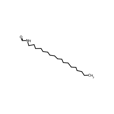 CCCCCCCCCCCCCCCCCCNC=O